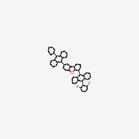 Fc1cccc(F)c1-c1c2ccccc2c(-c2cccc3c2oc2ccc(-c4c5ccccc5c(-c5ccccc5)c5ccccc45)cc23)c2ccccc12